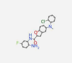 CN(c1ccc2oc(C(=O)Nc3cc(F)ccc3N)cc2c1)c1ccccc1Cl